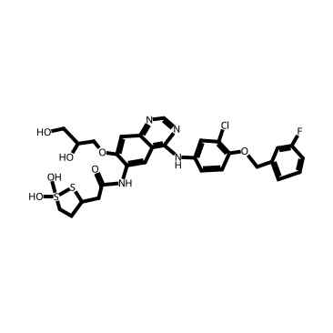 O=C(CC1CCS(O)(O)S1)Nc1cc2c(Nc3ccc(OCc4cccc(F)c4)c(Cl)c3)ncnc2cc1OCC(O)CO